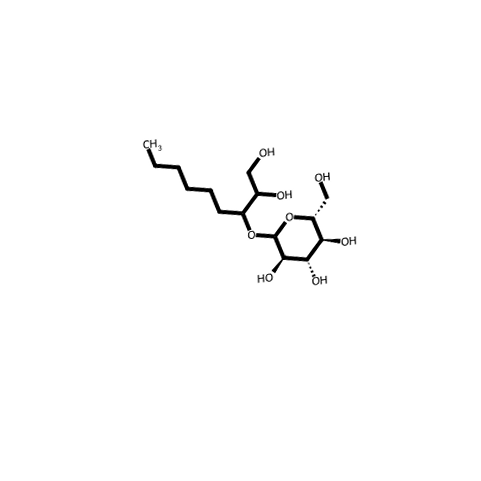 CCCCCCC(OC1O[C@H](CO)[C@@H](O)[C@H](O)[C@H]1O)C(O)CO